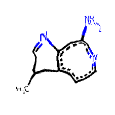 CC1C=Nc2c1ccnc2N